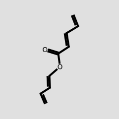 C=CC=COC(=O)C=CC=C